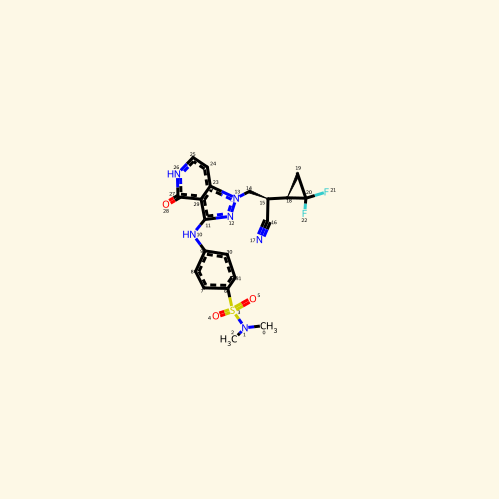 CN(C)S(=O)(=O)c1ccc(Nc2nn(C[C@H](C#N)[C@H]3CC3(F)F)c3cc[nH]c(=O)c23)cc1